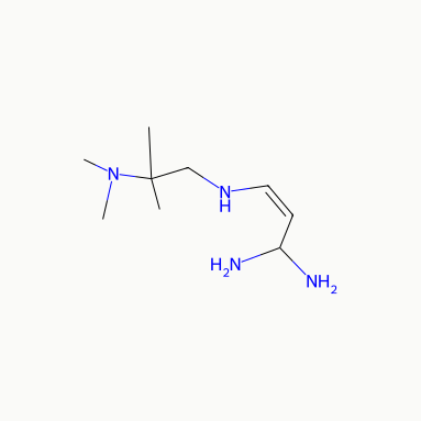 CN(C)C(C)(C)CN/C=C\C(N)N